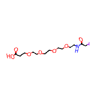 O=C(O)CCOCCOCCOCCOCCNC(=O)CI